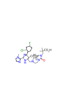 CCOC(=O)C1=C(CN2CCN3C(=O)N(CC(C)(C)C(=O)O)C[C@@H]3C2)NC(c2nccn2C)=N[C@H]1c1ccc(F)cc1Cl